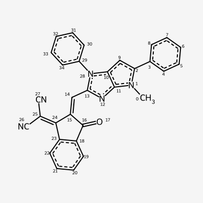 Cn1c(-c2ccccc2)cc2c1nc(/C=C1\C(=O)c3ccccc3C1=C(C#N)C#N)n2-c1ccccc1